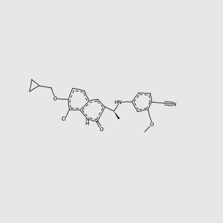 COc1cc(N[C@@H](C)c2cc3ccc(OCC4CC4)c(Cl)c3[nH]c2=O)ccc1C#N